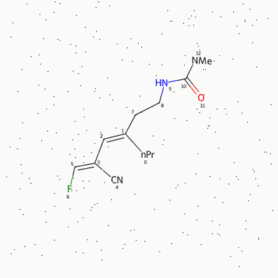 CCC/C(=C\C(C#N)=C\F)CCNC(=O)NC